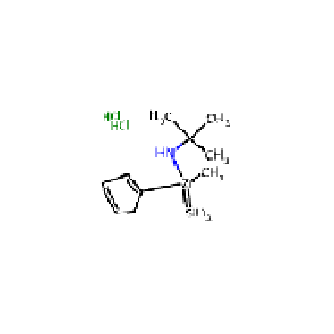 CC(C)(C)[NH][Zr]([CH3])(=[SiH2])[C]1=CC=CC1.Cl.Cl